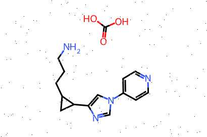 NCCCC1CC1c1cn(-c2ccncc2)cn1.O=C(O)O